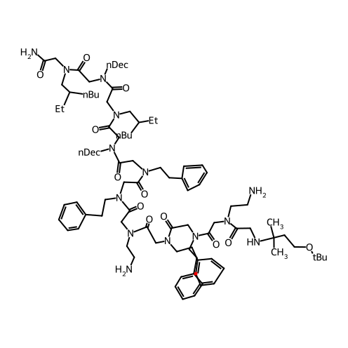 CCCCCCCCCCN(CC(=O)N(CC(=O)N(CCCCCCCCCC)CC(=O)N(CC(N)=O)CC(CC)CCCC)CC(CC)CCCC)C(=O)CN(CCc1ccccc1)C(=O)CN(CCc1ccccc1)C(=O)CN(CCN)C(=O)CN(CCc1ccccc1)C(=O)CN(CCc1ccccc1)C(=O)CN(CCN)C(=O)CNC(C)(C)CCOC(C)(C)C